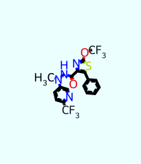 CN(NC(=O)c1nc(OC(F)(F)F)sc1-c1ccccc1)c1ccc(C(F)(F)F)nc1